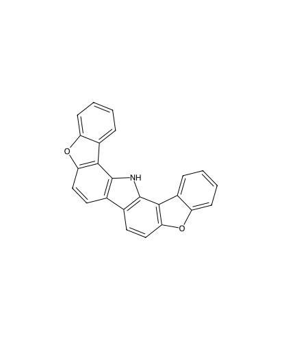 c1ccc2c(c1)oc1ccc3c4ccc5oc6ccccc6c5c4[nH]c3c12